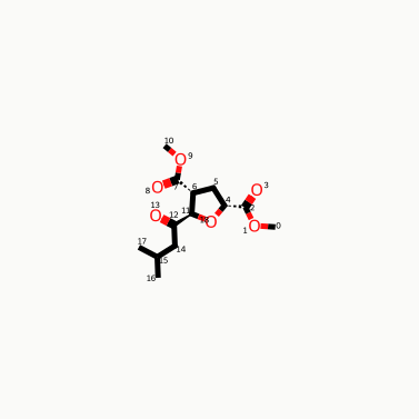 COC(=O)[C@H]1C[C@@H](C(=O)OC)[C@H](C(=O)CC(C)C)O1